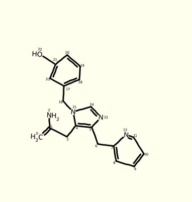 C=C(N)Cc1c(Cc2ccccn2)ncn1Cc1cccc(O)c1